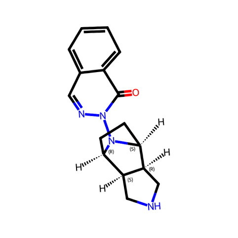 O=c1c2ccccc2cnn1N1[C@@H]2CC[C@H]1[C@H]1CNC[C@H]12